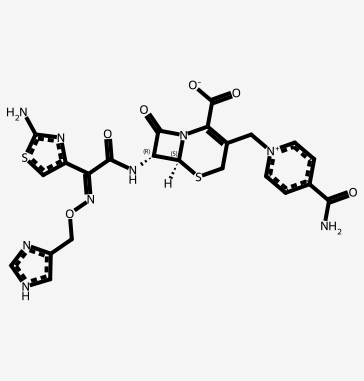 NC(=O)c1cc[n+](CC2=C(C(=O)[O-])N3C(=O)[C@@H](NC(=O)C(=NOCc4c[nH]cn4)c4csc(N)n4)[C@@H]3SC2)cc1